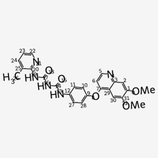 COc1cc2nccc(Oc3ccc(NC(=O)NC(=O)Nc4ncccc4C)cc3)c2cc1OC